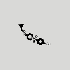 CCCCc1ccc(S(=O)(=O)N2CCC(=NOCC3CC3)CC2)cc1